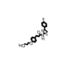 O=C(/C=C/c1ccc(OCCCO)cc1)NC1=NC(c2ccc(F)cc2)CS1